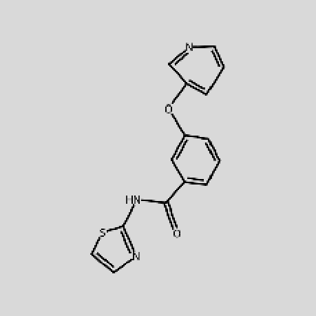 O=C(Nc1nccs1)c1cccc(Oc2cccnc2)c1